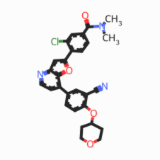 CN(C)C(=O)c1ccc(-c2cc3nccc(-c4ccc(OC5CCOCC5)c(C#N)c4)c3o2)c(Cl)c1